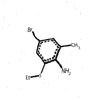 CCSc1cc(Br)cc(C)c1N